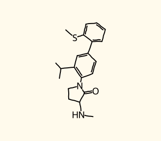 CNC1CCN(c2ccc(-c3ccccc3SC)cc2C(C)C)C1=O